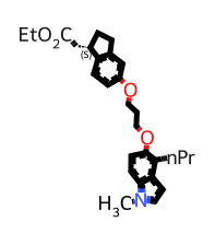 CCCc1c(OCCCOc2ccc3c(c2)CC[C@H]3CC(=O)OCC)ccc2c1ccn2C